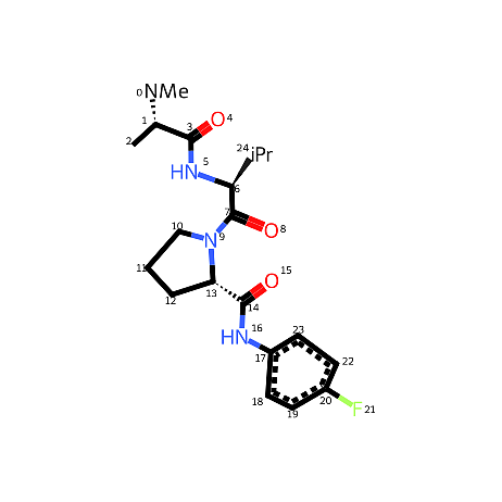 CN[C@@H](C)C(=O)N[C@H](C(=O)N1CCC[C@H]1C(=O)Nc1ccc(F)cc1)C(C)C